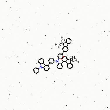 CC1(C)c2ccccc2-c2ccc(-c3ccc(N(c4cccc(-c5cccc6c5c5ccccc5n6-c5ccccc5)c4)c4ccccc4-c4cccc5c4-c4ccccc4C5(C)C)cc3)cc21